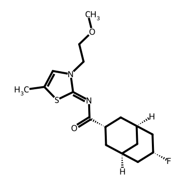 COCCn1cc(C)s/c1=N\C(=O)[C@H]1C[C@@H]2C[C@@H](F)C[C@@H](C2)C1